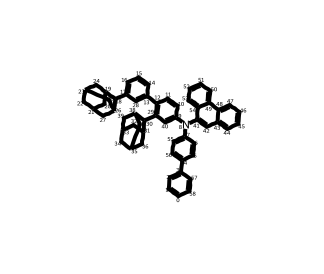 c1ccc(-c2ccc(N(c3ccc(-c4cccc(C5C6CC7CC(C6)CC5C7)c4)c(C4C5CC6CC(C5)CC4C6)c3)c3cc4ccccc4c4ccccc34)cc2)cc1